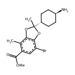 COC(=O)c1cc(Br)c2c(c1C)OC(C)([C@H]1CC[C@H](N)CC1)O2